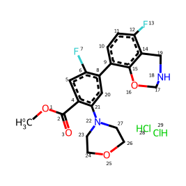 COC(=O)c1cc(F)c(-c2ccc(F)c3c2OCNC3)cc1N1CCOCC1.Cl.Cl